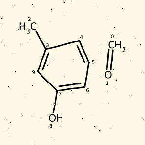 C=O.Cc1cccc(O)c1